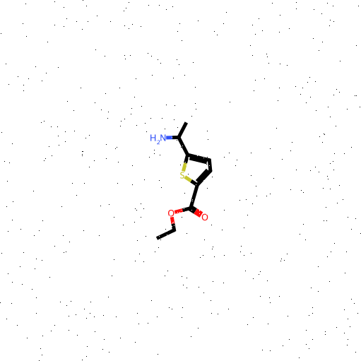 CCOC(=O)c1ccc(C(C)N)s1